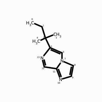 CCC(C)(C)c1cn2ccnc2cn1